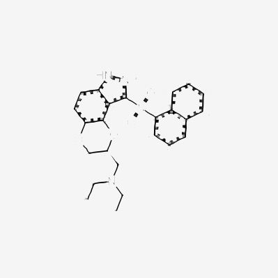 CCN(CC)C[C@H]1COc2ccc3[nH]nc(S(=O)(=O)c4cccc5ccccc45)c3c2O1